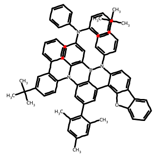 Cc1cc(C)c(-c2cc3c4c(c2)N(c2ccc(C(C)(C)C)cc2-c2ccccc2)c2ccc(N(c5ccccc5)c5ccccc5)cc2B4N(c2ccc(C(C)(C)C)cc2)c2ccc4c(oc5ccccc54)c2-3)c(C)c1